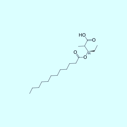 CCCCCCCCCCCC(=O)O[C@H](CC)C(C)C(=O)O